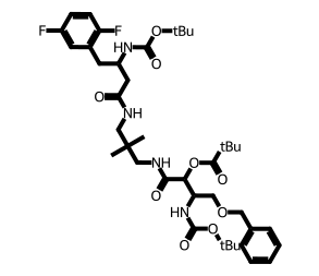 CC(C)(CNC(=O)CC(Cc1cc(F)ccc1F)NC(=O)OC(C)(C)C)CNC(=O)C(OC(=O)C(C)(C)C)C(COCc1ccccc1)NC(=O)OC(C)(C)C